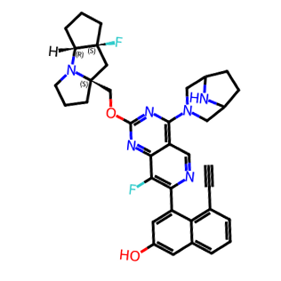 C#Cc1cccc2cc(O)cc(-c3ncc4c(N5CC6CCC(C5)N6)nc(OC[C@@]56CCCN5[C@@H]5CCC[C@]5(F)C6)nc4c3F)c12